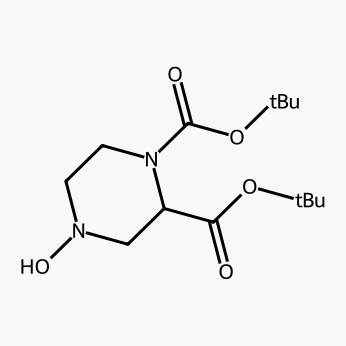 CC(C)(C)OC(=O)C1CN(O)CCN1C(=O)OC(C)(C)C